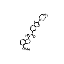 COc1cccc2c1CCC2NC(=O)c1ccc2nc(N3CCNCC3)sc2c1